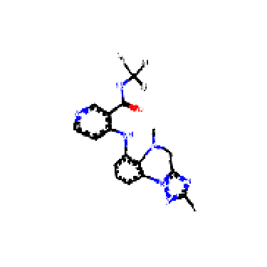 [2H]C([2H])([2H])NC(=O)c1cnccc1Nc1cccc2c1N(C)Cc1nc(C)nn1-2